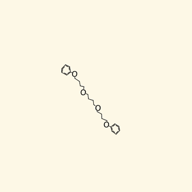 c1ccc(OCCCCOCCCCOCCCCOc2ccccc2)cc1